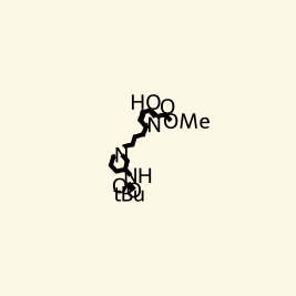 COC(=O)c1nc(CCCCN2CCCC(NC(=O)OC(C)(C)C)C2)ccc1O